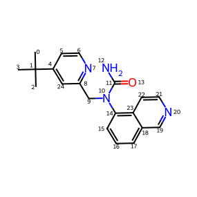 CC(C)(C)c1ccnc(CN(C(N)=O)c2cccc3cnccc23)c1